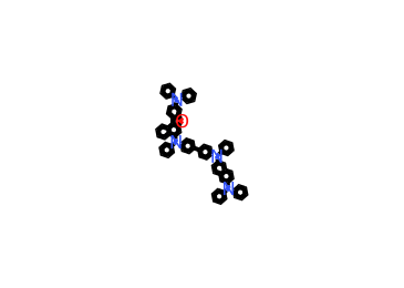 c1ccc(N(c2ccccc2)c2ccc3cc(N(c4ccccc4)c4ccc(-c5ccc(N(c6ccccc6)c6cc7oc8cc(N(c9ccccc9)c9ccccc9)ccc8c7c7ccccc67)cc5)cc4)ccc3c2)cc1